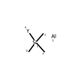 C[Si](C)(C)[Y].[Al]